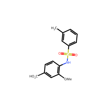 COc1cc(C(=O)O)ccc1NS(=O)(=O)c1cccc(C)c1